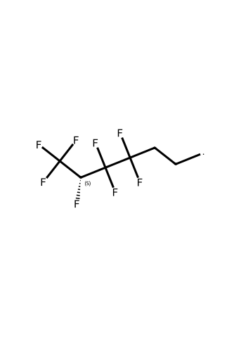 [CH2]CCC(F)(F)C(F)(F)[C@H](F)C(F)(F)F